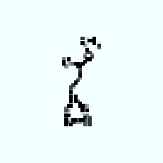 COC(=O)CCn1cnnn1